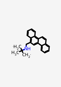 [CH2]C([CH2])(C)NCc1cc2c3ccccc3ccc2c2ccccc12